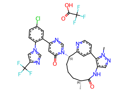 C[C@@H]1CCC[C@H](n2cnc(-c3cc(Cl)ccc3-n3cnc(C(F)(F)F)c3)cc2=O)c2cc(ccn2)-c2c(cnn2C)NC1=O.O=C(O)C(F)(F)F